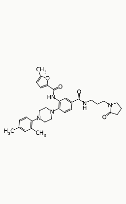 Cc1ccc(N2CCN(c3ccc(C(=O)NCCCN4CCCC4=O)cc3NC(=O)c3ccc(C)o3)CC2)c(C)c1